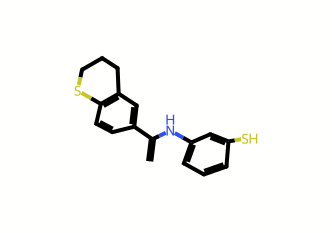 C=C(Nc1cccc(S)c1)c1ccc2c(c1)CCCS2